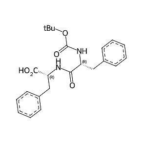 CC(C)(C)OC(=O)N[C@H](Cc1ccccc1)C(=O)N[C@H](Cc1ccccc1)C(=O)O